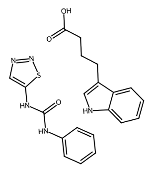 O=C(Nc1ccccc1)Nc1cnns1.O=C(O)CCCc1c[nH]c2ccccc12